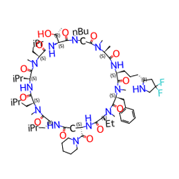 CCCCN1CC(=O)N(C)[C@@H](C)C(=O)N[C@@H](CCC[C@@H]2CC(F)(F)CN2)C(=O)N(C)[C@@H](Cc2ccccc2)C(=O)N(C)[C@@H](CC)C(=O)N[C@H](C(=O)N2CCCCC2)CC(=O)N[C@H](CC(C)C)C(=O)N(C)[C@@H](CC(C)C)C(=O)N[C@@H](C(C)C)C(=O)N(C)[C@@H](CC(C)C)C(=O)N[C@@H]([C@@H](C)O)C1=O